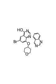 Oc1ncnc2c(OC3CCOCC3)cc(Br)cc12.c1ccc2ncncc2c1